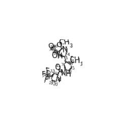 COc1ncc(-c2cc(NC(=O)c3cc(C(F)(F)F)ccn3)ccc2C)cc1C1(O)COC1